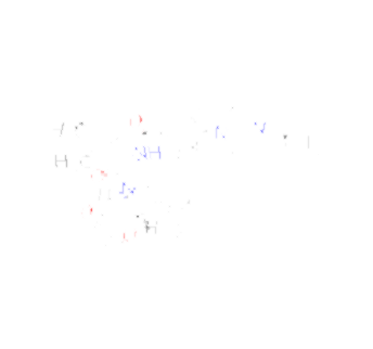 CCN1CCN(c2ccc(C(=O)NC(CC(C)C)C(=O)N3C[C@H](C4CC4)[C@H]4OCC(=O)[C@H]43)cc2)CC1